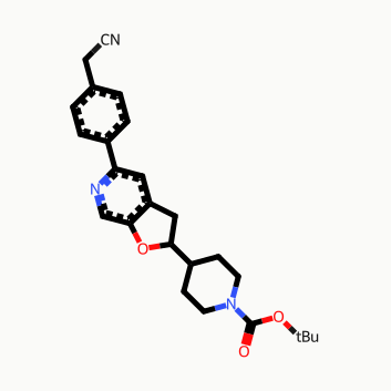 CC(C)(C)OC(=O)N1CCC(C2Cc3cc(-c4ccc(CC#N)cc4)ncc3O2)CC1